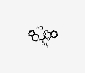 C[C@@H](C(=O)Oc1ccccc1Cl)N1CCc2sccc2C1.Cl